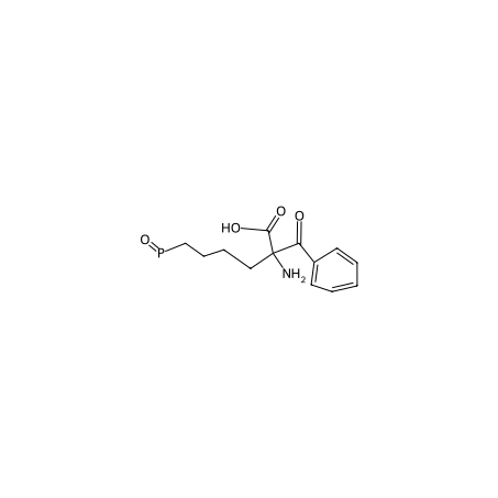 NC(CCCCP=O)(C(=O)O)C(=O)c1ccccc1